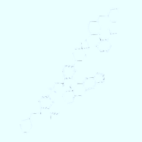 CC(C)c1ccccc1[C@@H]1CN(CC2CCOCC2)CCN1C1CC2(CCN(c3ccc(C(=O)NS(=O)(=O)c4ccc(NCC5CCOCC5)c([N+](=O)[O-])c4)c(N4c5cc6cc[nH]c6nc5O[C@H]5COCC[C@@H]54)c3)CC2)C1